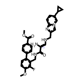 COC(=O)c1ccc(-c2ccc(OC)c(F)c2CNC(=O)/C(N)=C/NCc2cn3cc(C4CC4)ccc3n2)cc1